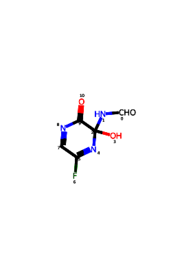 O=CNC1(O)N=C(F)C=NC1=O